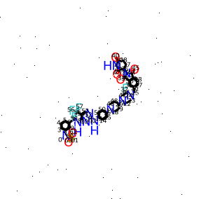 CN(c1cccc(CNc2nc(Nc3ccc(N4CCC(N5CCN(Cc6ccc7c(c6F)C(=O)N(C6CCC(=O)NC6=O)C7=O)CC5)CC4)cc3)ncc2C(F)(F)F)c1)S(C)(=O)=O